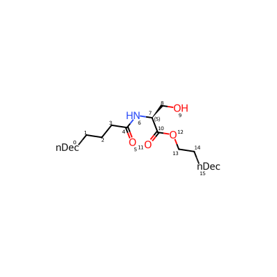 CCCCCCCCCCCCCC(=O)N[C@@H](CO)C(=O)OCCCCCCCCCCCC